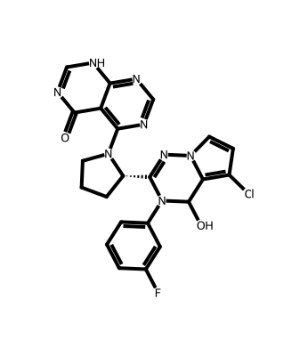 O=c1nc[nH]c2ncnc(N3CCC[C@H]3C3=Nn4ccc(Cl)c4C(O)N3c3cccc(F)c3)c12